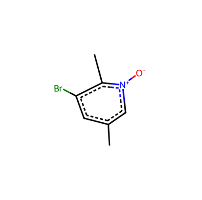 Cc1cc(Br)c(C)[n+]([O-])c1